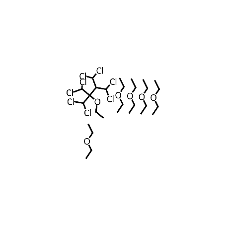 CCOC(C(Cl)Cl)(C(Cl)Cl)C(C(Cl)Cl)C(Cl)Cl.CCOCC.CCOCC.CCOCC.CCOCC.CCOCC